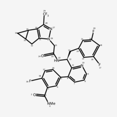 CNC(=O)c1cc(-c2cccnc2[C@H](Cc2cc(F)cc(F)c2)NC(=O)Cn2nc(C(F)(F)F)c3c2CC2CC32)ccc1F